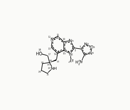 CCn1c(-c2nonc2N)nc2cncc(C[C@]3(CO)CCCN3)c21